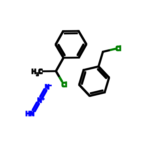 CC(Cl)c1ccccc1.ClCc1ccccc1.[N-]=[N+]=N